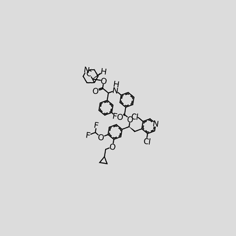 O=C(O[C@@H](Cc1c(Cl)cncc1Cl)c1ccc(OC(F)F)c(OCC2CC2)c1)c1cccc(NC(C(=O)O[C@H]2CN3CCC2CC3)c2cccc(F)c2)c1